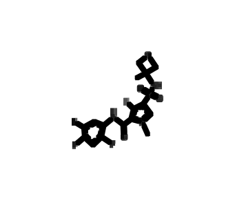 Cn1cc(S(=O)(=O)NC2(C)COC2)c(F)c1C(=O)Nc1cc(F)c(F)cc1F